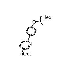 CCCCCCCCc1ccc(-c2ccc(OC(C)CCCCCC)cc2)nc1